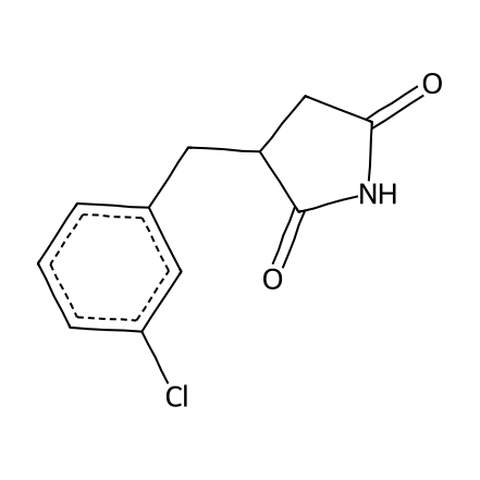 O=C1CC(Cc2cccc(Cl)c2)C(=O)N1